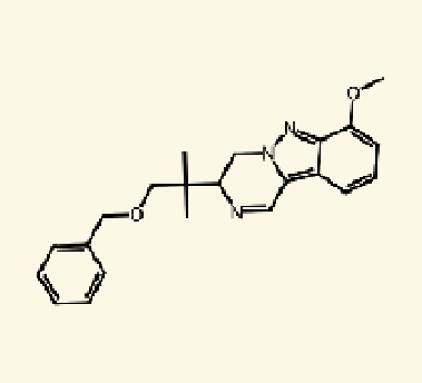 COc1cccc2c3n(nc12)CC(C(C)(C)COCc1ccccc1)N=C3